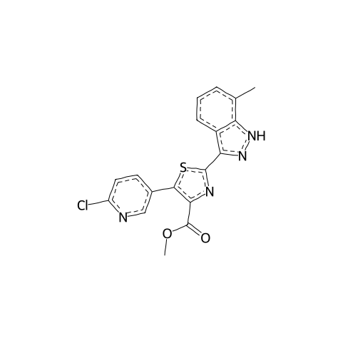 COC(=O)c1nc(-c2n[nH]c3c(C)cccc23)sc1-c1ccc(Cl)nc1